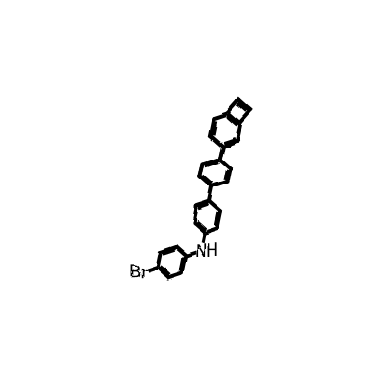 Brc1ccc(Nc2ccc(-c3ccc(-c4ccc5c(c4)C=C5)cc3)cc2)cc1